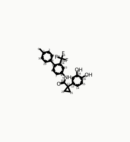 Cc1ccc(-c2ccc(NC(=O)C3(c4ccc(O)c(O)c4)CC3)cc2C(F)(F)F)cc1